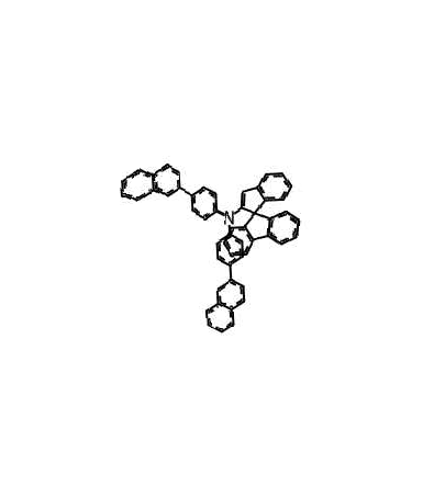 C1=C(N(c2ccc(-c3ccc4ccccc4c3)cc2)c2ccc(-c3ccc4ccccc4c3)cc2)C2(c3ccccc31)c1ccccc1-c1ccccc12